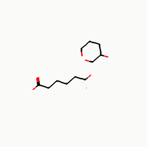 C[C@H](CCCCC(=O)O)O[C@@H]1OCCCC1O